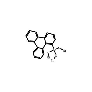 CCO[Si](OCC)(OCC)c1cccc2c3ccccc3c3ccccc3c12